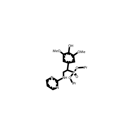 COc1cc(C(CNc2ncccn2)P(=O)(OC(C)C)OC(C)C)cc(OC)c1O